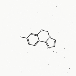 Fc1ccc2c(c1)OCn1ccnc1-2